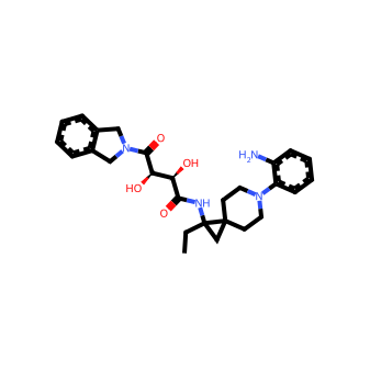 CCC1(NC(=O)[C@H](O)[C@@H](O)C(=O)N2Cc3ccccc3C2)CC12CCN(c1ccccc1N)CC2